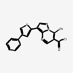 O=C(Cl)c1cnc2c(-c3cc(-c4ccccc4)cs3)cnn2c1O